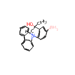 Bc1ccc(-n2c3ccccc3c3ccccc32)c(C(C)(C)O)c1